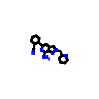 N#Cc1ccccc1-c1cc2cn(Cc3ccccn3)nc2c(N)n1